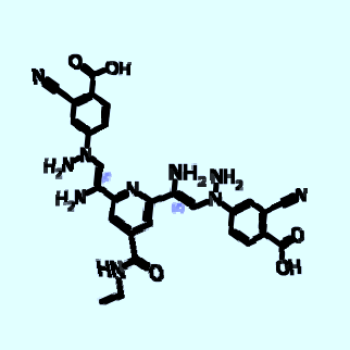 CCNC(=O)c1cc(/C(N)=C/N(N)c2ccc(C(=O)O)c(C#N)c2)nc(/C(N)=C/N(N)c2ccc(C(=O)O)c(C#N)c2)c1